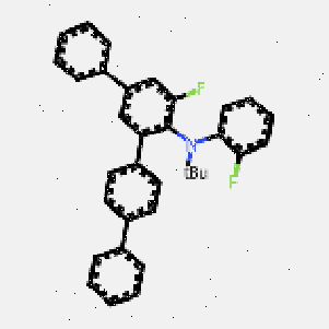 CC(C)(C)N(c1ccccc1F)c1c(F)cc(-c2ccccc2)cc1-c1ccc(-c2ccccc2)cc1